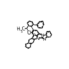 CC(C)c1cccc(-c2ccccc2)c1-c1cc2c3cc4ccccc4cc3n3c2c(c1)n1c2ccccc2nc13